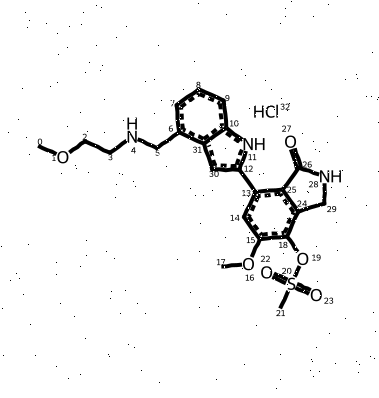 COCCNCc1cccc2[nH]c(-c3cc(OC)c(OS(C)(=O)=O)c4c3C(=O)NC4)cc12.Cl